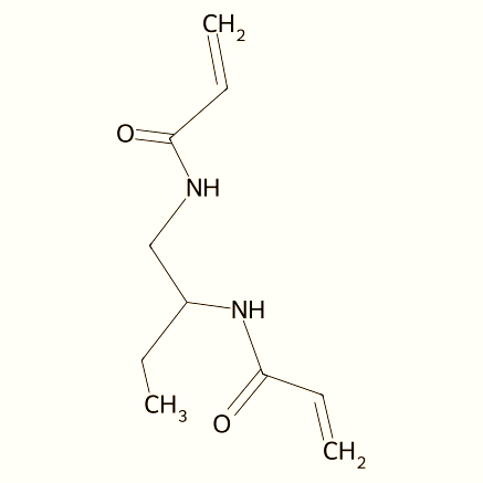 C=CC(=O)NCC(CC)NC(=O)C=C